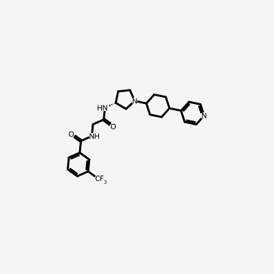 O=C(CNC(=O)c1cccc(C(F)(F)F)c1)N[C@@H]1CCN(C2CCC(c3ccncc3)CC2)C1